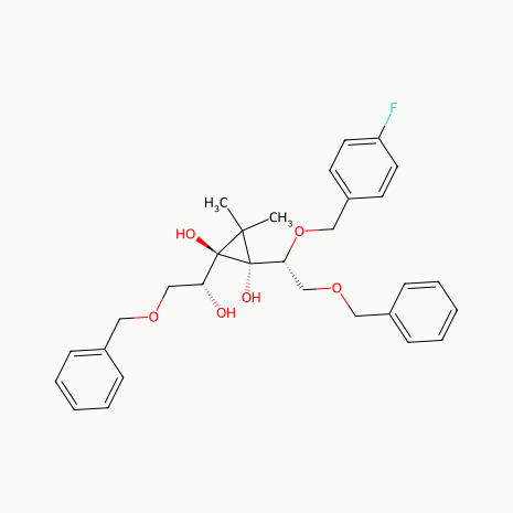 CC1(C)[C@@](O)([C@H](O)COCc2ccccc2)[C@]1(O)[C@@H](COCc1ccccc1)OCc1ccc(F)cc1